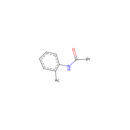 [CH2]C(=O)c1ccccc1NC(=O)C(C)C